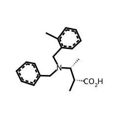 Cc1ccccc1CN(Cc1ccccc1)[C@H](C)[C@@H](C)C(=O)O